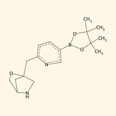 CC1(C)OB(c2ccc(CC34CNC(CO3)C4)nc2)OC1(C)C